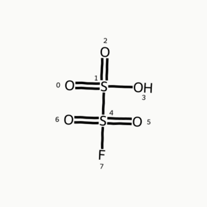 O=S(=O)(O)S(=O)(=O)F